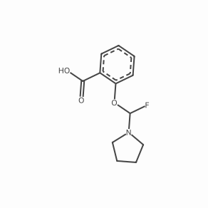 O=C(O)c1ccccc1OC(F)N1CCCC1